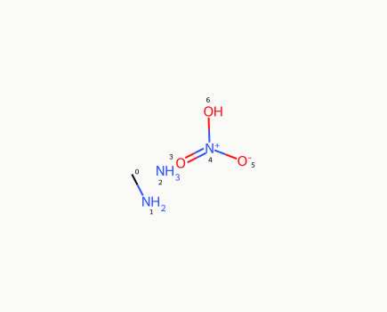 CN.N.O=[N+]([O-])O